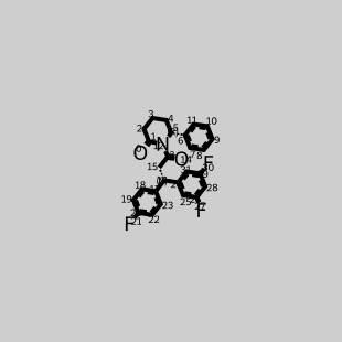 O=C1CCC[C@H](c2ccccc2)N1C(=O)C[C@@H](c1ccc(F)cc1)c1cc(F)cc(F)c1